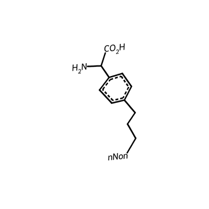 CCCCCCCCCCCCc1ccc(C(N)C(=O)O)cc1